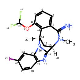 CN1C(=N)c2cccc(OC(F)F)c2[C@H]2C[C@@H]1c1nc3ccc(I)cc3n12